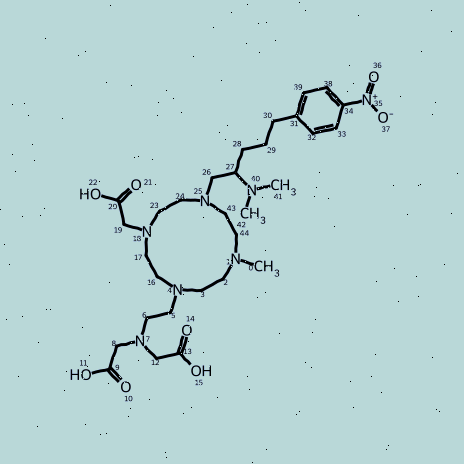 CN1CCN(CCN(CC(=O)O)CC(=O)O)CCN(CC(=O)O)CCN(CC(CCCc2ccc([N+](=O)[O-])cc2)N(C)C)CC1